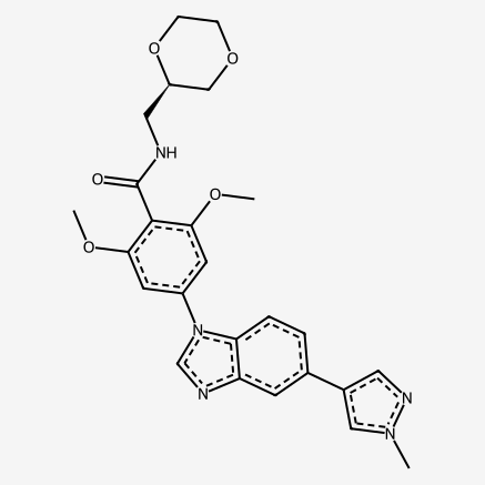 COc1cc(-n2cnc3cc(-c4cnn(C)c4)ccc32)cc(OC)c1C(=O)NC[C@@H]1COCCO1